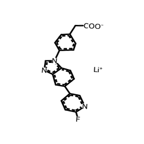 O=C([O-])Cc1ccc(-n2cnc3cc(-c4ccc(F)nc4)ccc32)cc1.[Li+]